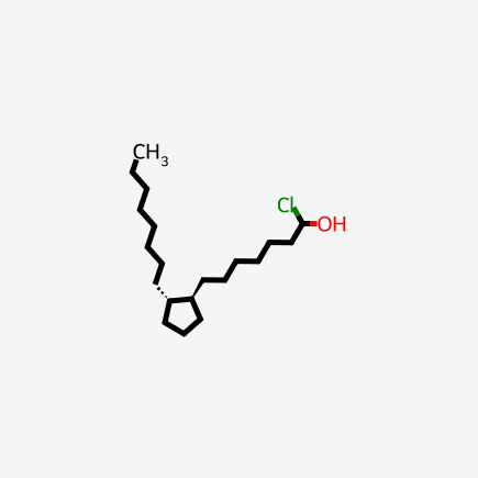 CCCCCCCC[C@H]1CCC[C@@H]1CCCCCCC(O)Cl